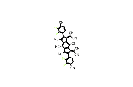 N#CC(C#N)=C1C(c2ccc(C#N)c(F)c2F)=C(C#N)c2c(C#N)c3c(c(C#N)c21)C(=C(C#N)C#N)C(c1ccc(C#N)c(F)c1F)=C3C#N